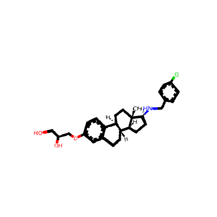 C[C@]12CC[C@@H]3c4ccc(OCC(O)CO)cc4CC[C@H]3[C@@H]1CC[C@@H]2NCc1ccc(Cl)cc1